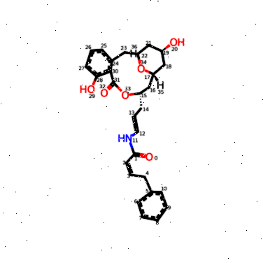 O=C(/C=C\Cc1ccccc1)N/C=C/C[C@H]1C[C@H]2C[C@H](O)C[C@H](Cc3cccc(O)c3C(=O)O1)O2